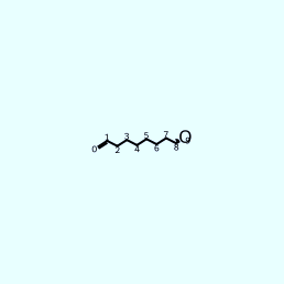 C=CCCCCCC[C]=O